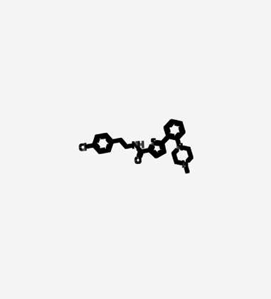 CN1CCN(c2ccccc2-c2ccc(C(=O)NCCc3ccc(Cl)cc3)s2)CC1